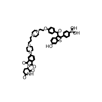 O=C1CCC(N2C(=O)c3ccc(N4CCN(CCCN5CCN(CCOc6ccc(C(=O)c7c(-c8ccc(B(O)O)cc8)sc8cc(O)ccc78)cc6)CC5)CC4)cc3C2=O)C(=O)N1